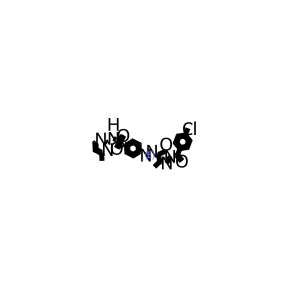 CC1=NN(C(=O)c2ccc(Cl)cc2)C(=O)C1/N=N/c1ccc(S(=O)(=O)Nc2nccc(C)n2)cc1